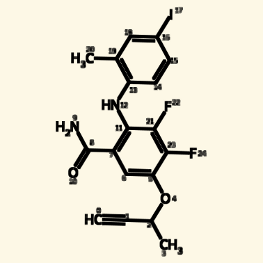 C#CC(C)Oc1cc(C(N)=O)c(Nc2ccc(I)cc2C)c(F)c1F